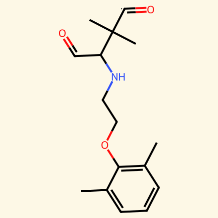 Cc1cccc(C)c1OCCNC(C=O)C(C)(C)[C]=O